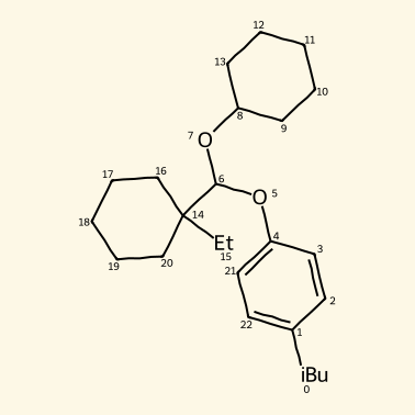 CCC(C)c1ccc(OC(OC2CCCCC2)C2(CC)CCCCC2)cc1